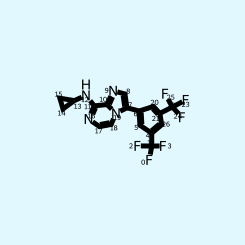 FC(F)(F)c1cc(-c2cnc3c(NC4CC4)nccn23)cc(C(F)(F)F)c1